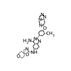 Cc1cc(-c2nc(N)c3cc(NC4=NCC5(CCOCC5)O4)ccc3n2)ccc1Oc1cc2nncn2cn1